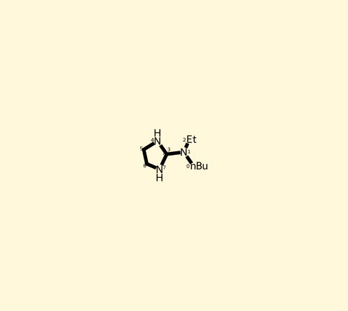 CCCCN(CC)[C]1NCCN1